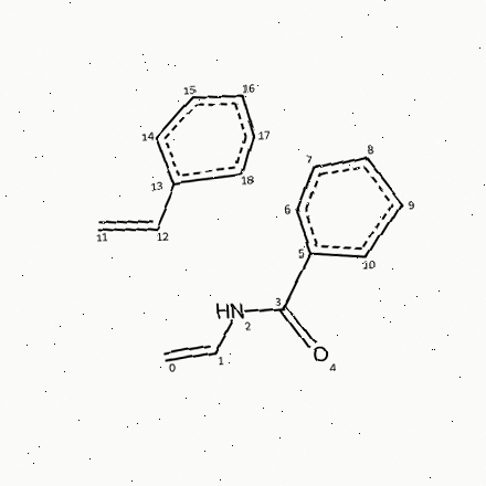 C=CNC(=O)c1ccccc1.C=Cc1ccccc1